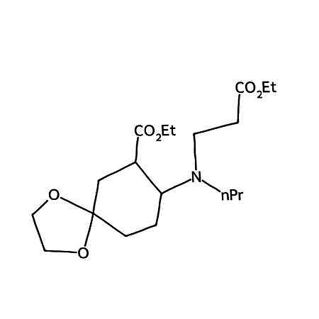 CCCN(CCC(=O)OCC)C1CCC2(CC1C(=O)OCC)OCCO2